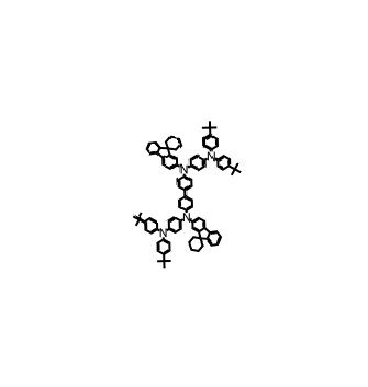 CC(C)(C)c1ccc(N(c2ccc(N(c3ccc(-c4ccc(N(c5ccc(N(c6ccc(C(C)(C)C)cc6)c6ccc(C(C)(C)C)cc6)cc5)c5ccc6c(c5)C5(CCCCC5)c5ccccc5-6)cc4)cc3)c3ccc4c(c3)C3(CCCCC3)c3ccccc3-4)cc2)c2ccc(C(C)(C)C)cc2)cc1